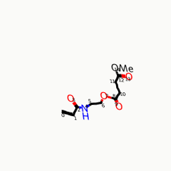 C=CC(=O)NCCOC(=O)CCC(=O)OC